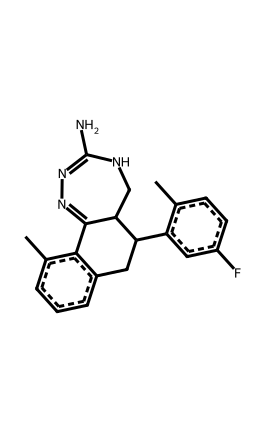 Cc1ccc(F)cc1C1Cc2cccc(C)c2C2=NN=C(N)NCC21